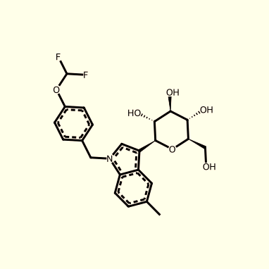 Cc1ccc2c(c1)c([C@@H]1O[C@H](CO)[C@@H](O)[C@H](O)[C@H]1O)cn2Cc1ccc(OC(F)F)cc1